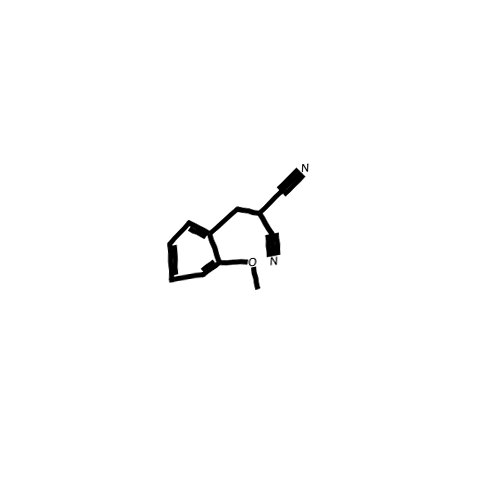 COc1ccccc1CC(C#N)C#N